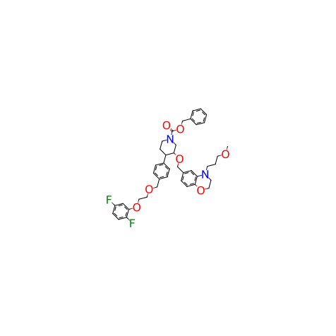 COCCCN1CCOc2ccc(COC3CN(C(=O)OCc4ccccc4)CCC3c3ccc(COCCOc4cc(F)ccc4F)cc3)cc21